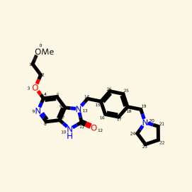 COCCOc1cc2c(cn1)[nH]c(=O)n2Cc1ccc(CN2CCCC2)cc1